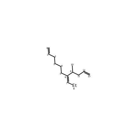 C=CCCCCC(=CCC)C(C)CC=C